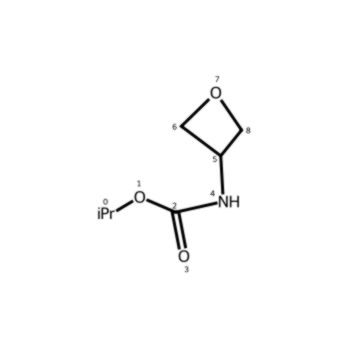 CC(C)OC(=O)NC1COC1